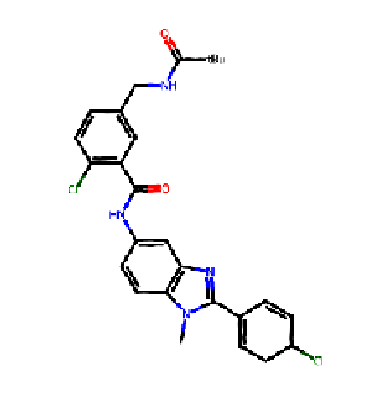 Cn1c(C2=CCC(Cl)C=C2)nc2cc(NC(=O)c3cc(CNC(=O)C(C)(C)C)ccc3Cl)ccc21